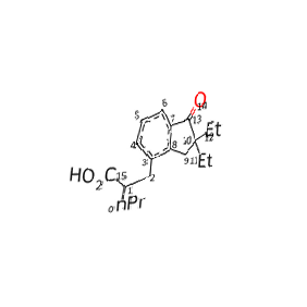 CCCC(Cc1cccc2c1CC(CC)(CC)C2=O)C(=O)O